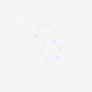 O=c1nc(Cl)cc2n1CCC1COCCN21